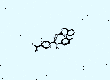 NC1=NC2(c3cc(NC(=O)c4cnc(C(F)F)cn4)ccc3F)CCOCC2CS1